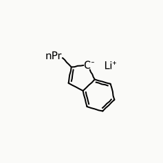 CCCc1cc2ccccc2[cH-]1.[Li+]